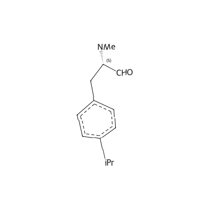 CN[C@H](C=O)Cc1ccc(C(C)C)cc1